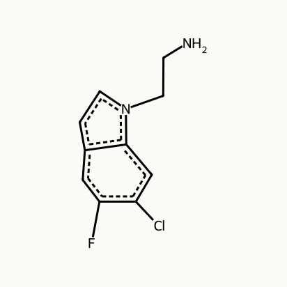 NCCn1ccc2cc(F)c(Cl)cc21